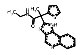 CCNC(=O)C(C)(c1nc2cnc3ccccc3c2[nH]1)c1cccs1